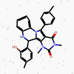 Cc1ccc(-c2c3c(=O)n(C)c(=O)n(C)c3c3n2-c2ccccc2NC3c2ccc(C)cc2O)cc1